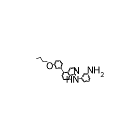 CCCCOc1cccc(-c2cccc3c(Nc4cccc(N)c4)nccc23)c1